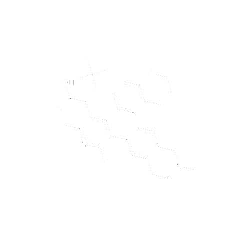 Cc1nc(C)c(C(OC(C)(C)C)C(=O)O)c(-c2ccc3c(c2)CCCO3)c1-c1ccc2c(c1)CCN(C)C2